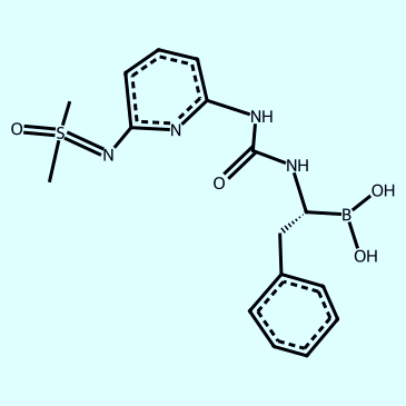 CS(C)(=O)=Nc1cccc(NC(=O)N[C@@H](Cc2ccccc2)B(O)O)n1